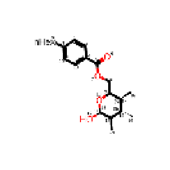 CCCCCCc1ccc(C(=O)OCC2O[C@H](O)C(C)[C@@H](C)[C@@H]2C)cc1